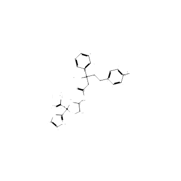 CC(CCc1ccc(Cl)cc1)(CC(=O)OC1COC(C(N)=O)(c2ncco2)O1)c1ccccc1